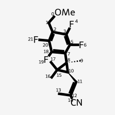 COCc1c(F)c(F)c([C@@]2(C)[C@@H](/C=C(\C)C#N)C2(C)C)c(F)c1F